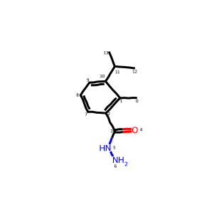 Cc1c(C(=O)NN)cccc1C(C)C